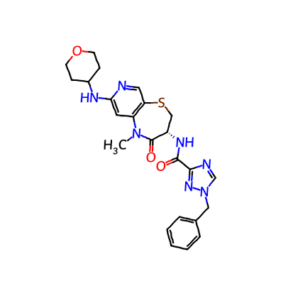 CN1C(=O)[C@@H](NC(=O)c2ncn(Cc3ccccc3)n2)CSc2cnc(NC3CCOCC3)cc21